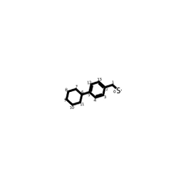 [S]Cc1ccc(C2CCCCC2)cc1